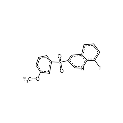 O=S(=O)(c1cccc(OC(F)(F)F)c1)c1cnc2c(I)cccc2c1